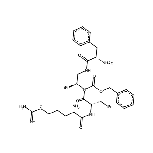 CC(=O)N[C@@H](Cc1ccccc1)C(=O)NC[C@H](C(C)C)N(C(=O)OCc1ccccc1)C(=O)[C@H](CC(C)C)NC(=O)[C@@H](N)CCCNC(=N)N